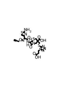 C#CCON=C(C(=O)NC1C(=O)N2CC(CSc3nnnn3CCC(=O)O)(C(=O)O)CS[C@H]12)c1csc(N)n1